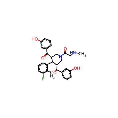 CNCC(=O)N1C[C@H](C(=O)c2cccc(O)c2)C(c2cccc(F)c2C)[C@@H](C(=O)c2cccc(O)c2)C1